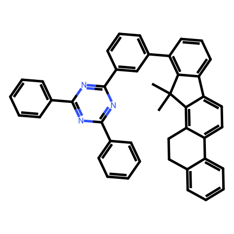 CC1(C)c2c(-c3cccc(-c4nc(-c5ccccc5)nc(-c5ccccc5)n4)c3)cccc2-c2ccc3c(c21)CCc1ccccc1-3